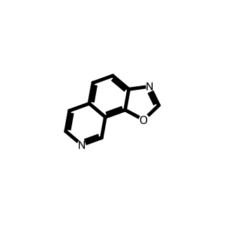 c1cc2ccc3ncoc3c2cn1